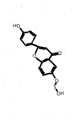 O=c1cc(-c2ccc(O)cc2)oc2ccc(OSO)cc12